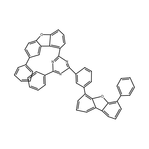 c1ccc(-c2ccc3oc4cccc(-c5nc(-c6ccccc6)nc(-c6cccc(-c7cccc8c7oc7c(-c9ccccc9)cccc78)c6)n5)c4c3c2)cc1